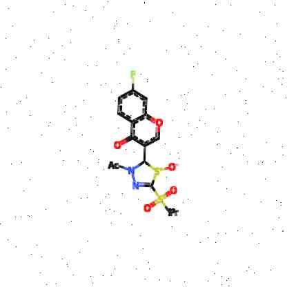 CC(=O)N1N=C(S(=O)(=O)C(C)C)[S+]([O-])C1c1coc2cc(F)ccc2c1=O